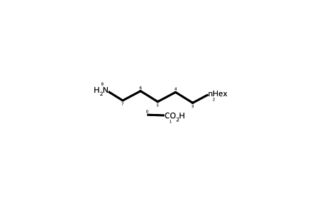 CC(=O)O.CCCCCCCCCCCN